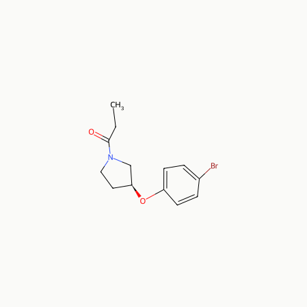 CCC(=O)N1CC[C@H](Oc2ccc(Br)cc2)C1